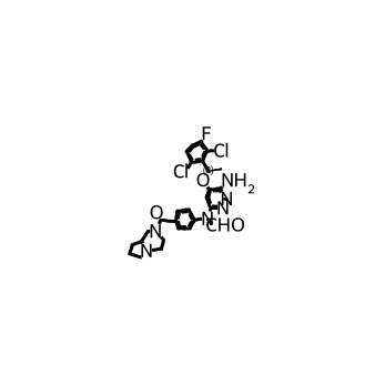 C[C@@H](Oc1cc(N(C=O)c2ccc(C(=O)N3CCN4CCCC4C3)cc2)nnc1N)c1c(Cl)ccc(F)c1Cl